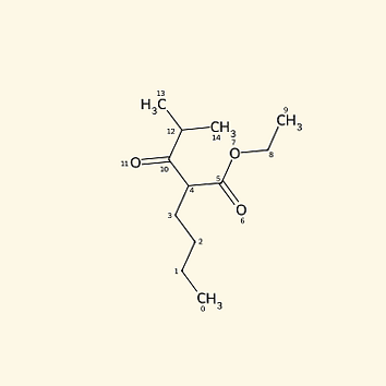 CCCCC(C(=O)OCC)C(=O)C(C)C